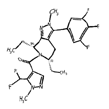 CC[C@H]1Cc2c(nn(C)c2-c2cc(F)c(F)c(F)c2)[C@@H](CC)N1C(=O)c1cnn(C)c1C(F)F